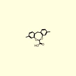 Cc1ccc2c(c1)OC(C(=O)O)Oc1cc(C)ccc1C2